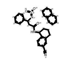 N#Cc1ccc2c(c1)CCCC2NC(=O)CC(N=S(=O)=O)c1ccccc1.c1ccc2ccccc2c1